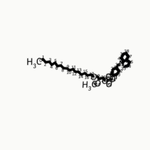 CCCCCCCCCCCCCCCCCCOCC(COP(=O)(O)Oc1ccc(C[n+]2cccc3ccccc32)cc1)OC